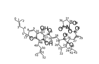 CC(C)=CCCC1(C)C=Cc2c(O)c(C(=O)/C(C)=C/C3CC(C)C(C)C(C/C=C(/C)C(=O)ON4C(=O)CCC4=O)(OC(C)C)C3=O)c(O)c(CC=C(C)C)c2O1